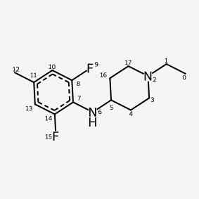 CCN1CCC(Nc2c(F)cc(C)cc2F)CC1